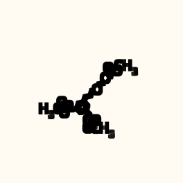 COC(=O)COCCOCCCc1cc(COS(C)(=O)=O)cc(COS(C)(=O)=O)c1